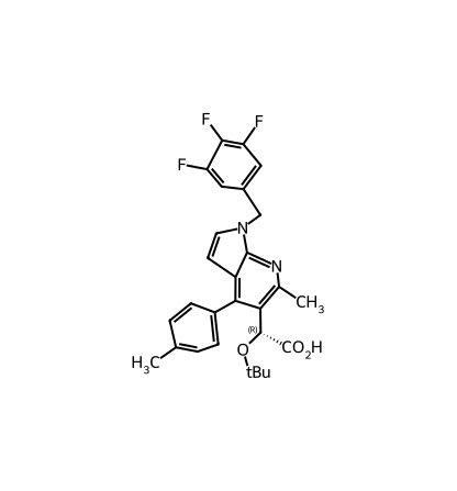 Cc1ccc(-c2c([C@@H](OC(C)(C)C)C(=O)O)c(C)nc3c2ccn3Cc2cc(F)c(F)c(F)c2)cc1